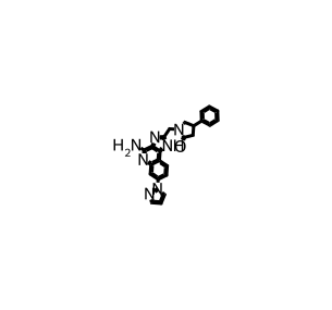 Nc1nc2cc(-n3cccn3)ccc2c2[nH]c(CN3CC(c4ccccc4)CC3=O)nc12